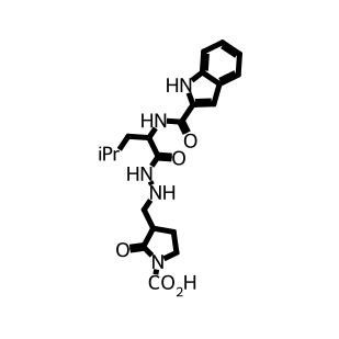 CC(C)CC(NC(=O)c1cc2ccccc2[nH]1)C(=O)NNCC1CCN(C(=O)O)C1=O